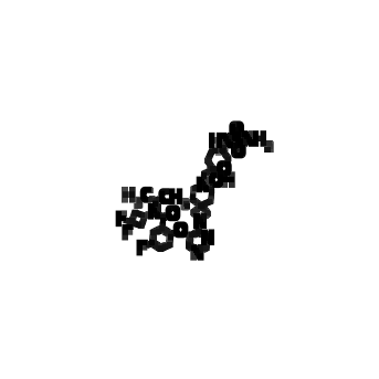 CC(C)N(C(=O)c1cc(F)ccc1Oc1cncnc1N1CC2(CCN(C[C@@]3(O)CC[C@@H](NS(N)(=O)=O)CO3)CC2)C1)C1CC(F)(F)C1